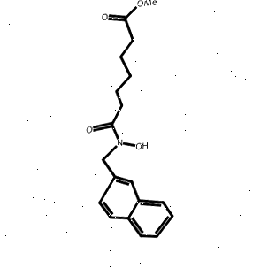 COC(=O)CCCCCC(=O)N(O)Cc1ccc2ccccc2c1